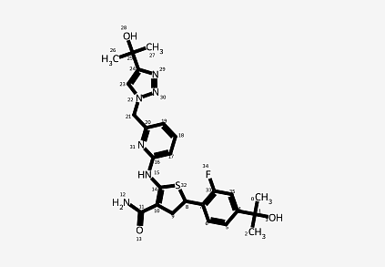 CC(C)(O)c1ccc(C2CC(C(N)=O)=C(Nc3cccc(Cn4cc(C(C)(C)O)nn4)n3)S2)c(F)c1